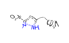 O=C(O)Cc1cc([N+](=O)[O-])n[nH]1